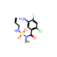 C=CCNS(=O)(=O)N(CCC)C(=O)c1cc(N)c(F)cc1Cl